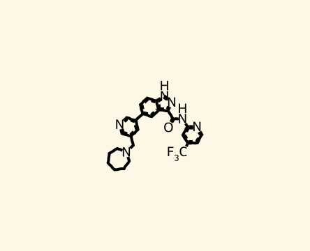 O=C(Nc1cc(C(F)(F)F)ccn1)c1n[nH]c2ccc(-c3cncc(CN4CCCCCC4)c3)cc12